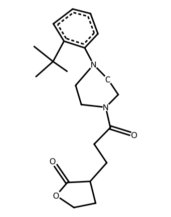 CC(C)(C)c1ccccc1N1CCN(C(=O)CCC2CCOC2=O)CC1